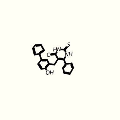 O=c1[nH]c(=S)[nH]c(-c2ccccc2)c1Cc1cc(-c2ccccc2)ccc1O